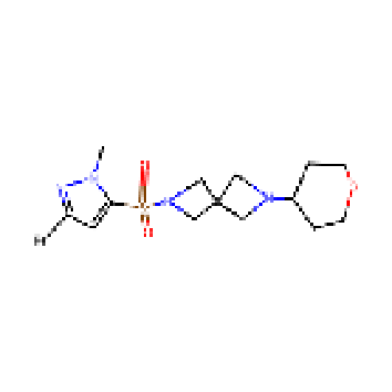 CC(C)c1cc(S(=O)(=O)N2CC3(CN(C4CCOCC4)C3)C2)n(C)n1